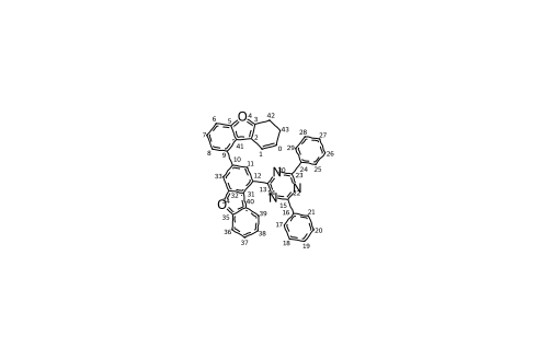 C1=Cc2c(oc3cccc(-c4cc(-c5nc(-c6ccccc6)nc(-c6ccccc6)n5)c5c(c4)oc4ccccc45)c23)CC1